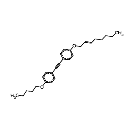 CCCCCC=CCOc1ccc(C#Cc2ccc(OCCCCC)cc2)cc1